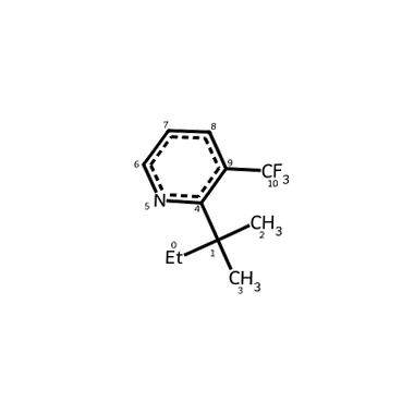 CCC(C)(C)c1ncccc1C(F)(F)F